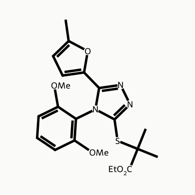 CCOC(=O)C(C)(C)Sc1nnc(-c2ccc(C)o2)n1-c1c(OC)cccc1OC